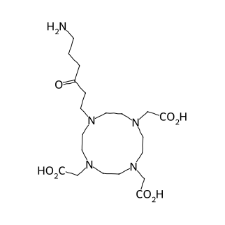 NCCCC(=O)CCN1CCN(CC(=O)O)CCN(CC(=O)O)CCN(CC(=O)O)CC1